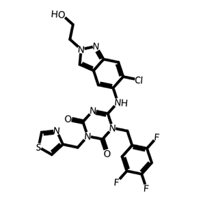 O=c1nc(Nc2cc3cn(CCO)nc3cc2Cl)n(Cc2cc(F)c(F)cc2F)c(=O)n1Cc1cscn1